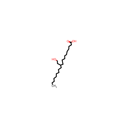 CCCCCCCCCC(CCO)CCCCCCCCCC(=O)O